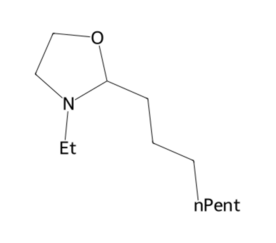 CCCCCCCCC1OCCN1CC